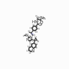 C=Nc1ncc(C2(c3ccc4ncccc4c3)CC2)n1/C=C(\C)c1ccc(C(=O)N[C@@H](C)C(=O)NC)cc1